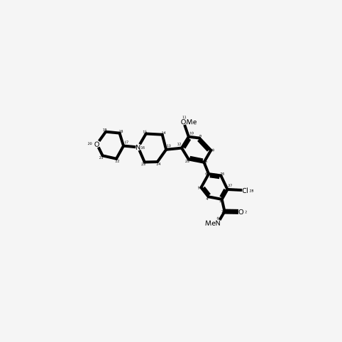 CNC(=O)c1ccc(-c2ccc(OC)c(C3CCN(C4CCOCC4)CC3)c2)cc1Cl